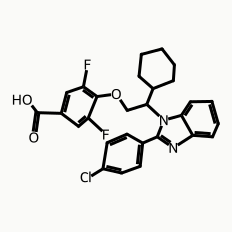 O=C(O)c1cc(F)c(OCC(C2CCCCC2)n2c(-c3ccc(Cl)cc3)nc3ccccc32)c(F)c1